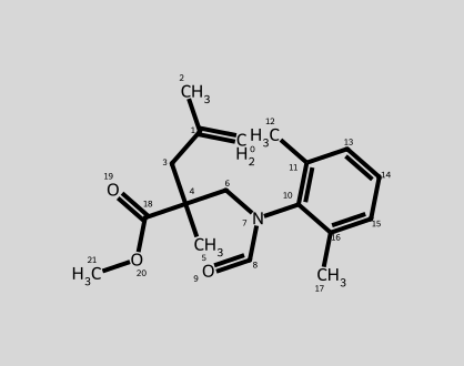 C=C(C)CC(C)(CN(C=O)c1c(C)cccc1C)C(=O)OC